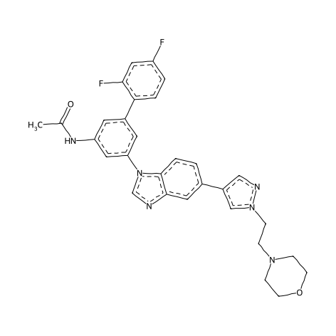 CC(=O)Nc1cc(-c2ccc(F)cc2F)cc(-n2cnc3cc(-c4cnn(CCN5CCOCC5)c4)ccc32)c1